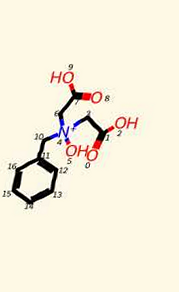 O=C(O)C[N+](O)(CC(=O)O)Cc1ccccc1